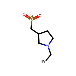 C[C](C)CN1CCC(C[SH](=O)=O)C1